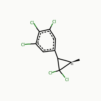 C[C@@H]1C(c2cc(Cl)c(Cl)c(Cl)c2)C1(Cl)Cl